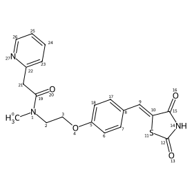 CN(CCOc1ccc(/C=C2\SC(=O)NC2=O)cc1)C(=O)Cc1ccccn1